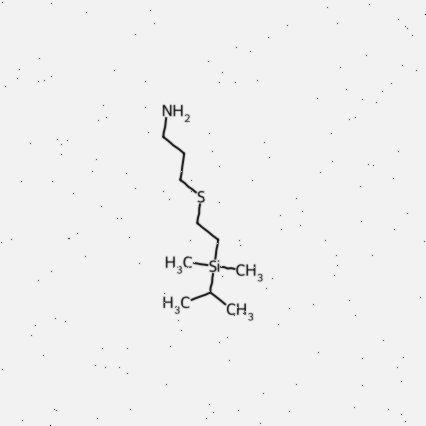 CC(C)[Si](C)(C)CCSCCCN